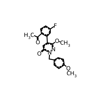 COc1ccc(Cn2nc(OC)c(-c3cc(F)ccc3C(C)=O)cc2=O)cc1